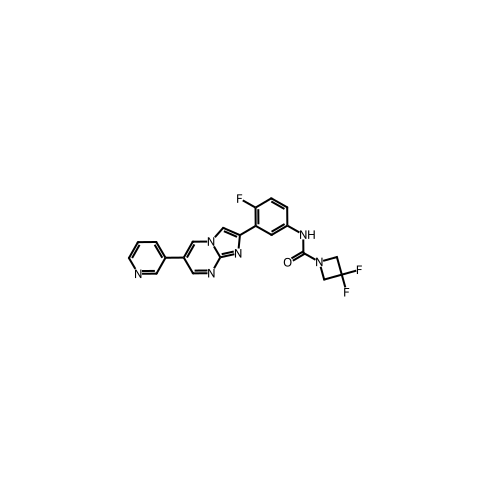 O=C(Nc1ccc(F)c(-c2cn3cc(-c4cccnc4)cnc3n2)c1)N1CC(F)(F)C1